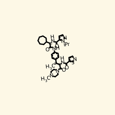 CC(C)n1nccc1C(=O)N[C@H](C(=O)Nc1ccc([C@H](C)[C@@H](NC(=O)c2ccns2)C(=O)N2CCN(C)CC2)cc1)C1CCCCCC1